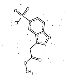 COC(=O)Cc1noc2ccc(S(=O)(=O)Cl)cc12